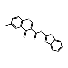 Cc1ccc2occ(C(=O)Sc3nc4ccccc4s3)c(=O)c2c1